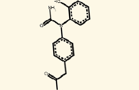 NC(=O)N(c1ccc(CC(=O)O)cc1)c1ccccc1O